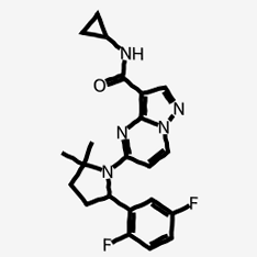 CC1(C)CCC(c2cc(F)ccc2F)N1c1ccn2ncc(C(=O)NC3CC3)c2n1